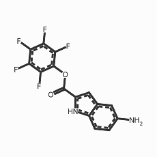 Nc1ccc2[nH]c(C(=O)Oc3c(F)c(F)c(F)c(F)c3F)cc2c1